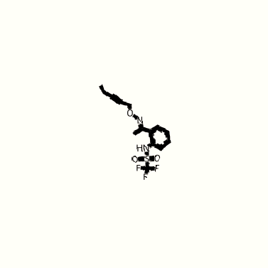 CCC#CCO/N=C(\C)c1ccccc1NS(=O)(=O)C(F)(F)F